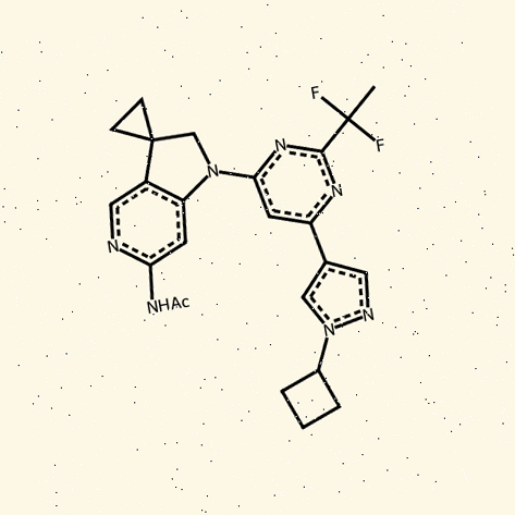 CC(=O)Nc1cc2c(cn1)C1(CC1)CN2c1cc(-c2cnn(C3CCC3)c2)nc(C(C)(F)F)n1